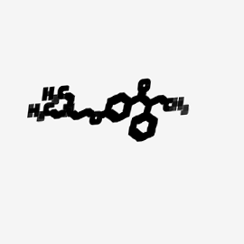 CCC(C(=O)c1ccc(OCCN(CC)CC)cc1)c1ccccc1